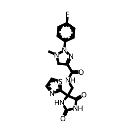 CN1CC(C(=O)NCC2(c3nccs3)NC(=O)NC2=O)=NN1c1ccc(F)cc1